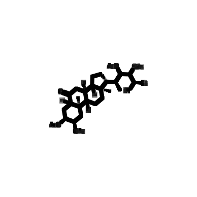 CC[C@@H](C(C)C)C(OC(C)=O)C(OC(C)=O)[C@@H](C)[C@H]1CC[C@H]2[C@@H]3CC(=O)[C@H]4C[C@H](OC(C)=O)[C@H](OC(C)=O)C[C@]4(C)[C@H]3CC[C@]12C